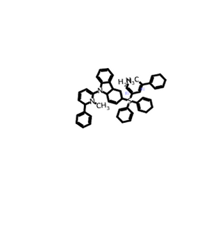 C/C(=C\C(=C/N)S(C1=CCCC=C1)(C1=CCCC=C1)C1C=CC2C(C1)c1ccccc1N2C1=CC=CC(c2ccccc2)N1C)C1=CCCC=C1